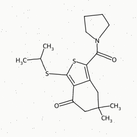 CC(C)Sc1sc(C(=O)N2CCCC2)c2c1C(=O)CC(C)(C)C2